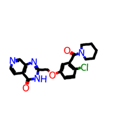 O=C(c1cc(OCc2nc3cnccc3c(=O)[nH]2)ccc1Cl)N1CCCCC1